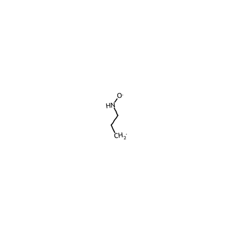 [CH2]CCN[O]